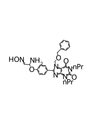 CCCn1c(=O)c2c(nc(-c3ccc(OC(N)C=NO)cc3)n2COCc2ccccc2)n(CCC)c1=O